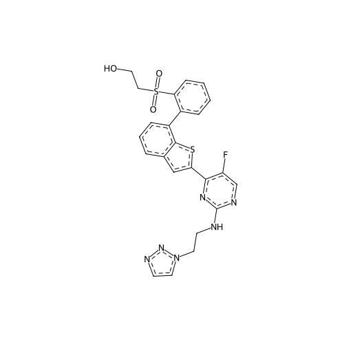 O=S(=O)(CCO)c1ccccc1-c1cccc2cc(-c3nc(NCCn4ccnn4)ncc3F)sc12